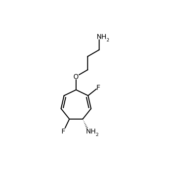 NCCCOC1C=CC(F)[C@@H](N)C=C1F